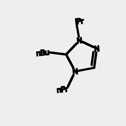 CCCCC1N(CCC)C=NN1C(C)C